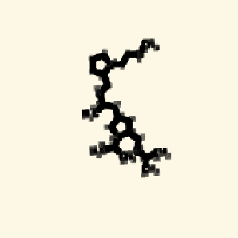 COCCN1CCCC1COC(C)CC1CC(COC(C)C)N(C(C)C)C1